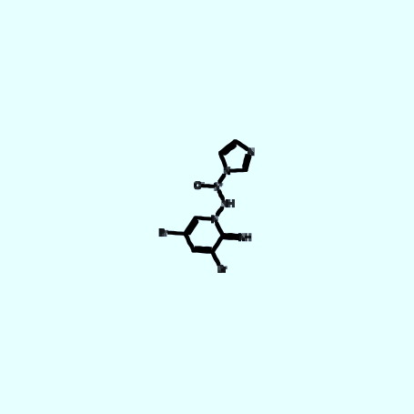 N=c1c(Br)cc(Br)cn1N[S+]([O-])n1ccnc1